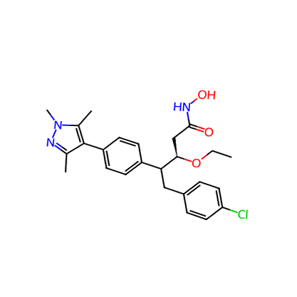 CCO[C@H](CC(=O)NO)C(Cc1ccc(Cl)cc1)c1ccc(-c2c(C)nn(C)c2C)cc1